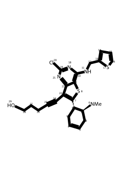 CN[C@H]1CC=CC[C@@H]1c1sc2c(NCc3cccs3)nc(Cl)nc2c1C#CCCCO